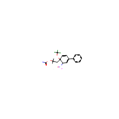 CC(C)(CC1(OC(F)(F)F)C=CC(c2ccccc2)=CC1[N+](=O)[O-])OC(N)=O